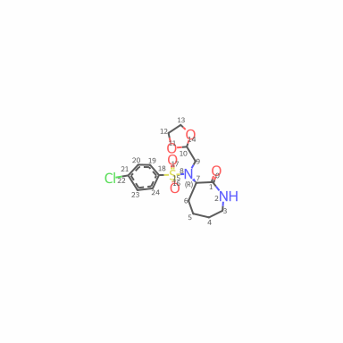 O=C1NCCCC[C@H]1N(CC1OCCO1)S(=O)(=O)c1ccc(Cl)cc1